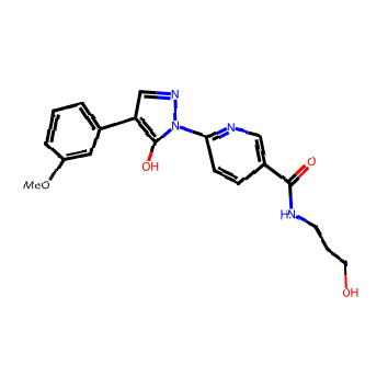 COc1cccc(-c2cnn(-c3ccc(C(=O)NCCCO)cn3)c2O)c1